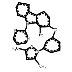 Cc1cc(C)n(-c2cccc(Oc3ccc4c5ccccc5n(-c5ncccn5)c4[c]3[Pt])c2)n1